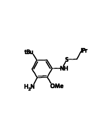 COc1c(N)cc(C(C)(C)C)cc1NSCC(C)C